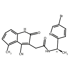 Cc1cccc2[nH]c(=O)c(CC(=O)N[C@H](C)c3ccc(Br)cn3)c(C#N)c12